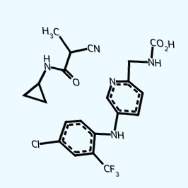 CC(C#N)C(=O)NC1CC1.O=C(O)NCc1ccc(Nc2ccc(Cl)cc2C(F)(F)F)cn1